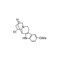 CCC1C[C@H]2CC3c4[nH]c5ccc(OC)cc5c4CCN(C2)C13